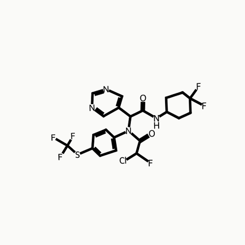 O=C(NC1CCC(F)(F)CC1)C(c1cncnc1)N(C(=O)C(F)Cl)c1ccc(SC(F)(F)F)cc1